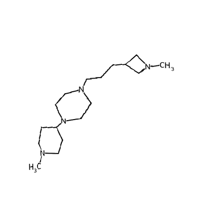 CN1CCC(N2CCN(CCCC3CN(C)C3)CC2)CC1